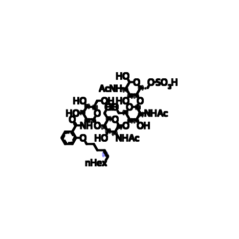 CCCCCC/C=C\CCCOc1ccccc1C(=O)N[C@H]1[C@H](O[C@H]2[C@H](O)[C@@H](NC(C)=O)[C@H](O[C@H]3[C@H](O)[C@@H](NC(C)=O)[C@H](O[C@H]4[C@H](O)[C@@H](NC(C)=O)C(O)O[C@@H]4COS(=O)(=O)O)O[C@@H]3CO)O[C@@H]2CO)O[C@H](CO)[C@@H](O)[C@@H]1O